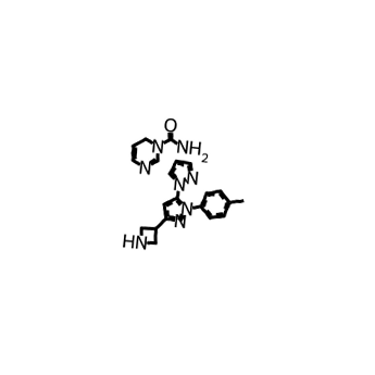 Cc1ccc(-n2nc(C3CNC3)cc2-n2cccn2)cc1.NC(=O)N1C=NC=CC1